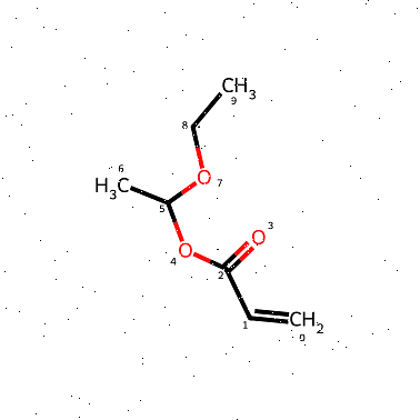 C=CC(=O)OC(C)O[CH]C